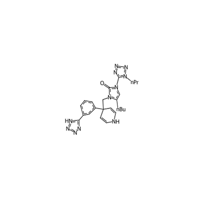 CCCCc1cn(-c2nnnn2CCC)c(=O)n1CC1(c2cccc(-c3nnn[nH]3)c2)C=CNC=C1